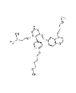 COCCCCOc1ccc([C@@H]2[C@@H](OCc3ccc4c(c3)N(CCCOC)CCO4)CNC[C@H]2OCC[C@@H](C)O)cc1